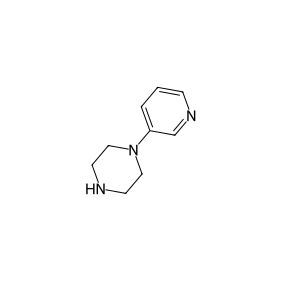 c1cncc(N2CCNCC2)c1